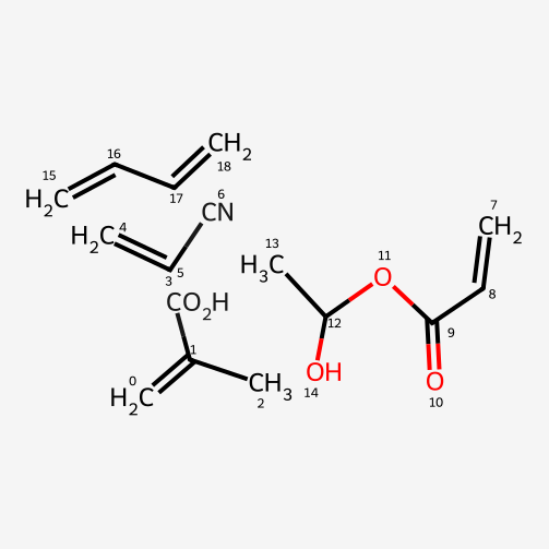 C=C(C)C(=O)O.C=CC#N.C=CC(=O)OC(C)O.C=CC=C